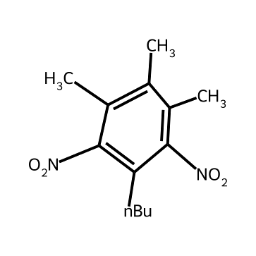 CCCCc1c([N+](=O)[O-])c(C)c(C)c(C)c1[N+](=O)[O-]